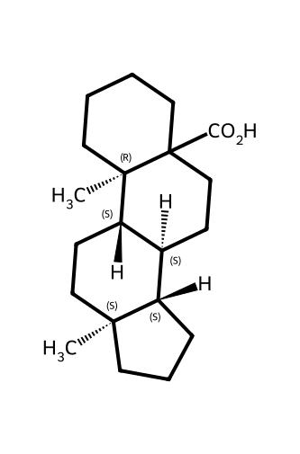 C[C@@]12CCC[C@H]1[C@@H]1CCC3(C(=O)O)CCCC[C@]3(C)[C@H]1CC2